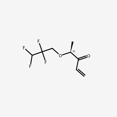 C=CC(=O)[C@H](C)OCC(F)(F)C(F)F